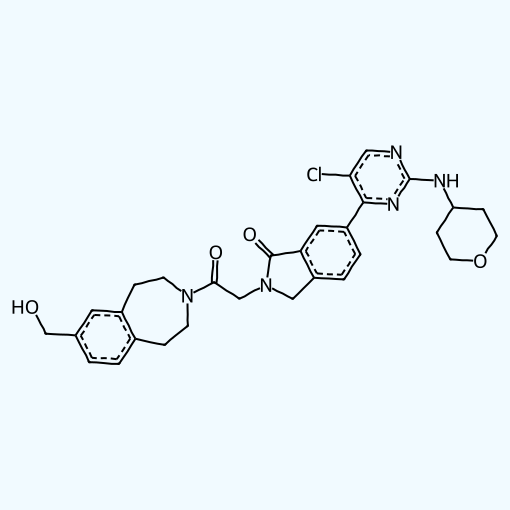 O=C(CN1Cc2ccc(-c3nc(NC4CCOCC4)ncc3Cl)cc2C1=O)N1CCc2ccc(CO)cc2CC1